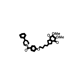 COC1=C(OC)C(=O)C2=C(CC(CCCCOc3ccc(C(=O)N4CCC(c5ccccc5)CC4)cc3)C2)C1=O